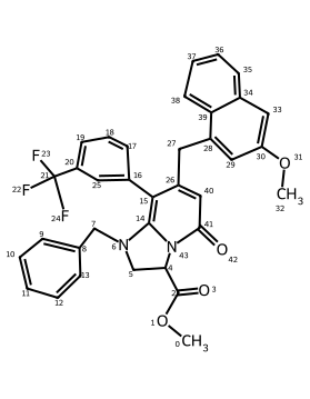 COC(=O)C1CN(Cc2ccccc2)c2c(-c3cccc(C(F)(F)F)c3)c(Cc3cc(OC)cc4ccccc34)cc(=O)n21